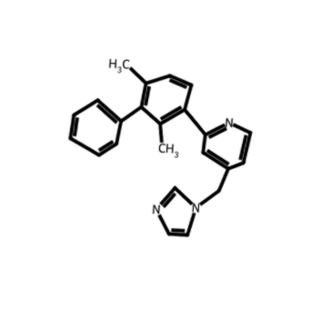 Cc1ccc(-c2cc(Cn3ccnc3)ccn2)c(C)c1-c1ccccc1